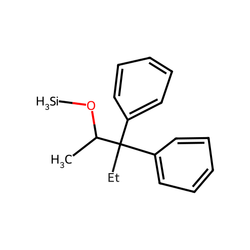 CCC(c1ccccc1)(c1ccccc1)C(C)O[SiH3]